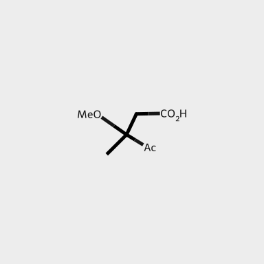 COC(C)(CC(=O)O)C(C)=O